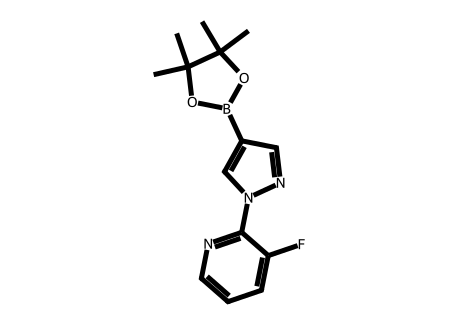 CC1(C)OB(c2cnn(-c3ncccc3F)c2)OC1(C)C